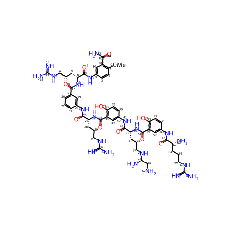 COc1ccc(NC(=O)[C@@H](CCCNC(=N)N)NC(=O)c2cccc(NC(=O)[C@@H](CCCNC(=N)N)NC(=O)c3cc(NC(=O)[C@@H](CCCN[C@H](N)CN)NC(=O)c4cc(NC(=O)[C@H](N)CCCNC(=N)N)ccc4O)ccc3O)c2)cc1C(N)=O